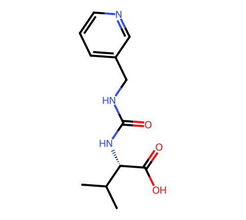 CC(C)[C@H](NC(=O)NCc1cccnc1)C(=O)O